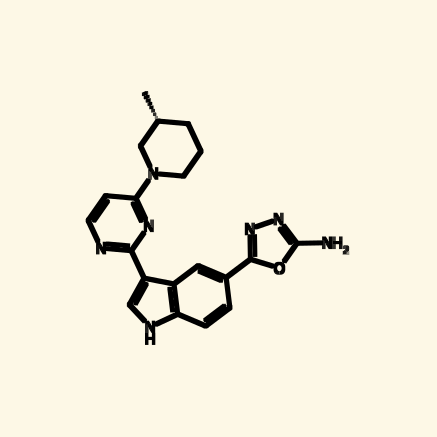 C[C@@H]1CCCN(c2ccnc(-c3c[nH]c4ccc(-c5nnc(N)o5)cc34)n2)C1